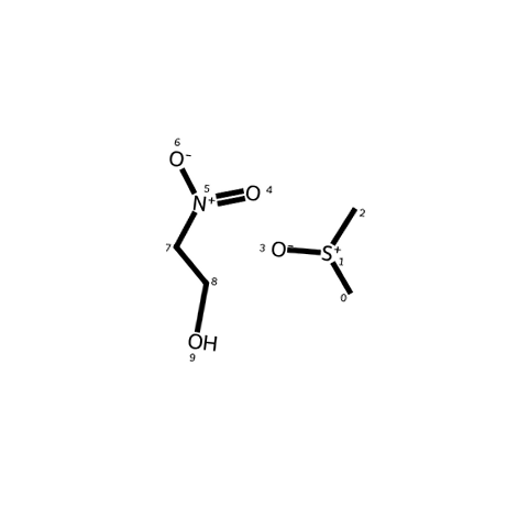 C[S+](C)[O-].O=[N+]([O-])CCO